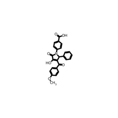 COc1ccc(C(=O)C2=C(O)C(=O)N(c3ccc(C(=O)O)cc3)C2c2ccccc2)cc1